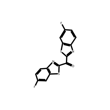 O=C(c1nc2ccc(F)cc2s1)c1nc2ccc(F)cc2s1